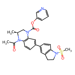 CC(=O)N1c2ccc(-c3ccc4c(c3)CCN4S(C)(=O)=O)cc2N(C(=O)Oc2cccnc2)C[C@@H]1C